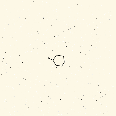 IC1CCCCC1